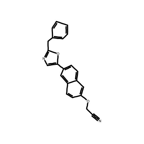 N#CCOc1ccc2cc(-c3cnc(Cc4ccccc4)o3)ccc2c1